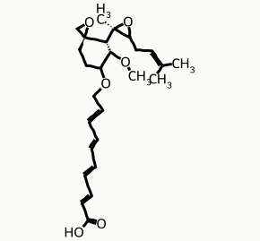 COC1C(OC/C=C/C=C/C=C/C=C/C(=O)O)CC[C@]2(CO2)[C@@H]1[C@@]1(C)OC1CC=C(C)C